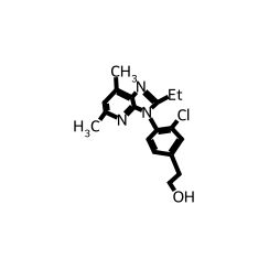 CCc1nc2c(C)cc(C)nc2n1-c1ccc(CCO)cc1Cl